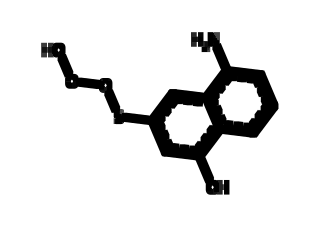 Nc1cccc2c(O)cc(SOOO)cc12